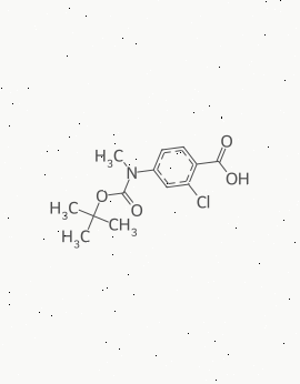 CN(C(=O)OC(C)(C)C)c1ccc(C(=O)O)c(Cl)c1